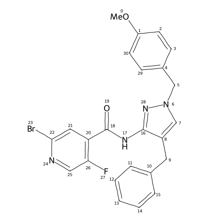 COc1ccc(Cn2cc(Cc3ccccc3)c(NC(=O)c3cc(Br)ncc3F)n2)cc1